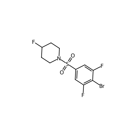 O=S(=O)(c1cc(F)c(Br)c(F)c1)N1CCC(F)CC1